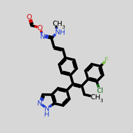 CC/C(=C(/c1ccc(/C=C/C(=N/OC=O)NC)cc1)c1ccc2[nH]ncc2c1)c1ccc(F)cc1Cl